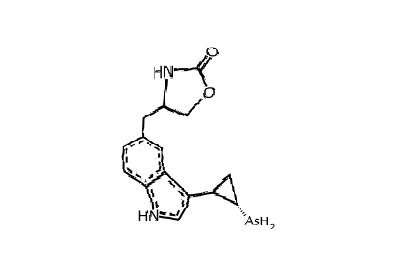 O=C1NC(Cc2ccc3[nH]cc(C4C[C@@H]4[AsH2])c3c2)CO1